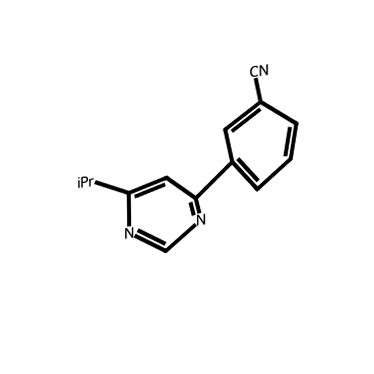 CC(C)c1cc(-c2cccc(C#N)c2)ncn1